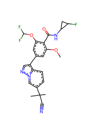 COc1cc(-c2cnn3cc(C(C)(C)C#N)ccc23)cc(OC(F)F)c1C(=O)NC1CC1F